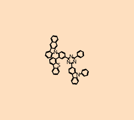 c1ccc(-c2nc(-c3ccc(-n4c5ccccc5c5cc6ccccc6cc54)c(-c4cccc5c4sc4ccccc45)c3)nc(-c3ccc4c5ccccc5n(-c5ccccc5)c4c3)n2)cc1